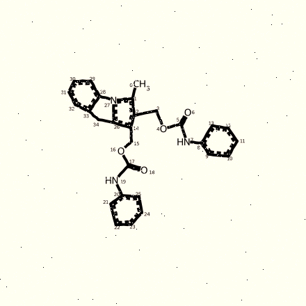 Cc1c(COC(=O)Nc2ccccc2)c(COC(=O)Nc2ccccc2)c2n1-c1ccccc1C2